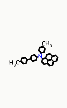 Cc1ccc(-c2ccc(N(c3ccc(C)cc3)c3ccc4ccc5cccc6ccc3c4c56)cc2)cc1